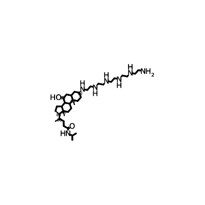 CC(C)NC(=O)CC[C@@H](C)[C@H]1CCC2C3C(CC[C@@]21C)[C@@]1(C)CC[C@H](NCCNCCNCCNCCNCCN)CC1C[C@H]3O